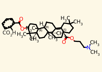 CN(C)CCCOC(=O)[C@]12CCC(C)(C)CC1=C1CC[C@@H]3[C@@]4(C)CC[C@H](OC(=O)c5ccccc5C(=O)O)C(C)(C)[C@@H]4CC[C@@]3(C)[C@]1(C)CC2